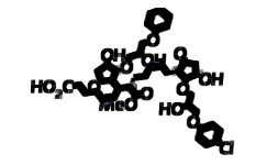 COC(=O)[C@@H](CC/C=C\C[C@H]1C(=O)C[C@H](O)C1OCC(O)COc1ccc(Cl)cc1)C(/C=C\CCCC(=O)O)C1C(=O)CC(O)[C@@H]1OCC(O)COc1ccccc1